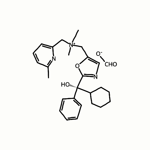 Cc1cccc(C[N+](C)(C)Cc2cnc([C@](O)(c3ccccc3)C3CCCCC3)o2)n1.O=C[O-]